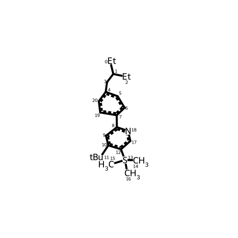 CCC(CC)Cc1ccc(-c2cc(C(C)(C)C)c(S(C)(C)C)cn2)cc1